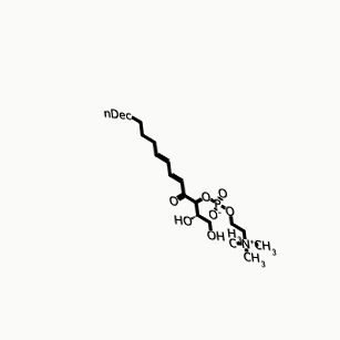 CCCCCCCCCCCCCC=CC=CC(=O)C(OP(=O)([O-])OCC[N+](C)(C)C)[C@@H](O)CO